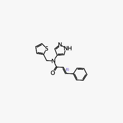 O=C(/C=C/c1ccccc1)N(Cc1cccs1)c1cn[nH]c1